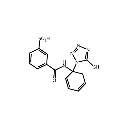 O=C(NC1(n2nnnc2S)C=CC=CC1)c1cccc(S(=O)(=O)O)c1